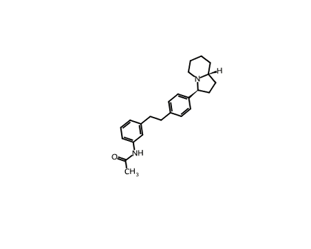 CC(=O)Nc1cccc(CCc2ccc([C@@H]3CC[C@H]4CCCCN43)cc2)c1